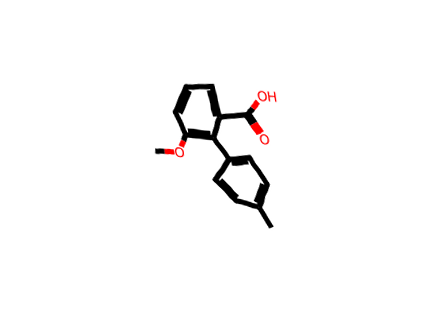 COc1cccc(C(=O)O)c1-c1ccc(C)cc1